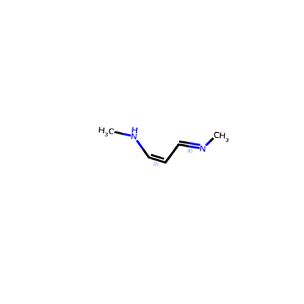 C/N=C/C=C\NC